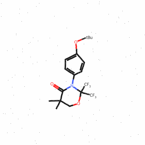 CC(C)(C)Oc1ccc(N2C(=O)C(C)(C)COC2(C(F)(F)F)C(F)(F)F)cc1